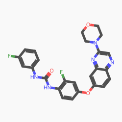 O=C(Nc1cccc(F)c1)Nc1ccc(Oc2ccc3ncc(N4CCOCC4)nc3c2)cc1F